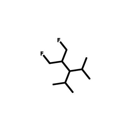 CC(C)C(C(C)C)C(CF)CF